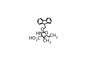 C=CC[C@@H](C)[C@@H](NC(=O)OCC1c2ccccc2-c2ccccc21)C(=O)O